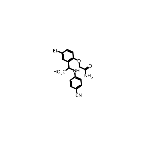 CCc1ccc(OCC(N)=O)c(C(Nc2ccc(C#N)cc2)C(=O)O)c1